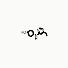 CCc1cc(N[C@H]2CC[C@@H](O)CC2)ncn1